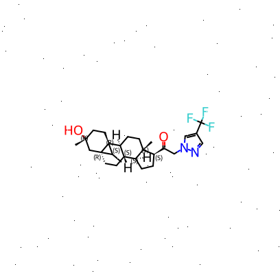 CC1[C@]23CC[C@H]4[C@@H]5CC[C@H](C(=O)Cn6cc(C(F)(F)F)cn6)[C@@]5(C)CC[C@@H]4[C@]12CC[C@@](C)(O)C3